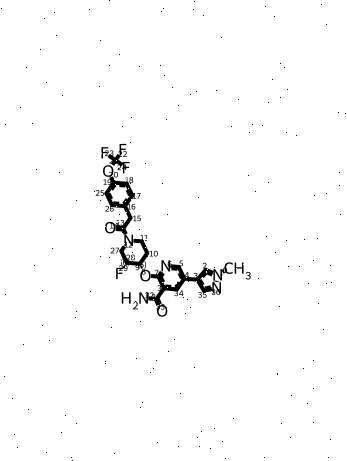 Cn1cc(-c2cnc(O[C@H]3CCN(C(=O)Cc4ccc(OC(F)(F)F)cc4)C[C@H]3F)c(C(N)=O)c2)cn1